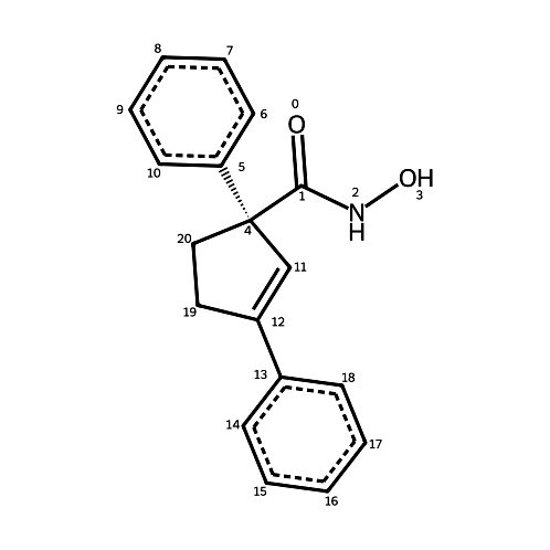 O=C(NO)[C@@]1(c2ccccc2)C=C(c2ccccc2)CC1